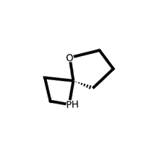 C1CO[C@]2(C1)CCP2